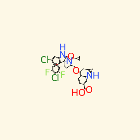 N=C1C=C(C(=O)O)C=C/C1=C(/CC1=CC1)OCC1C[C@H](c2ccc(F)c(Cl)c2F)[C@]2(C(=O)Nc3cc(Cl)ccc32)N1CC1CC1